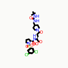 CC(C)(C)NC(=O)NCC1CCN(C(=O)CC[C@H](NC(=O)[C@@H]2CCCN2S(=O)(=O)c2cc(Cl)cc(Cl)c2)C(=O)O)CC1